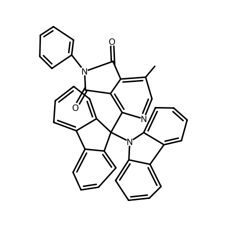 Cc1cnc(C2(n3c4ccccc4c4ccccc43)c3ccccc3-c3ccccc32)c2c1C(=O)N(c1ccccc1)C2=O